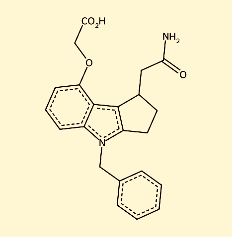 NC(=O)CC1CCc2c1c1c(OCC(=O)O)cccc1n2Cc1ccccc1